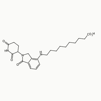 O=C(O)CCCCCCCCCNc1cccc2c1CN(C1CCC(=O)NC1=O)C2=O